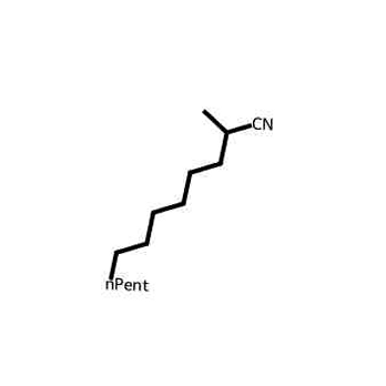 CCCCCCCCCCCC(C)C#N